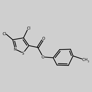 Cc1ccc(OC(=O)c2snc(Cl)c2Cl)cc1